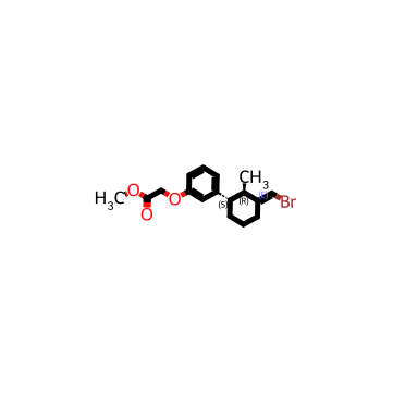 COC(=O)COc1cccc([C@H]2CCC/C(=C\Br)[C@@H]2C)c1